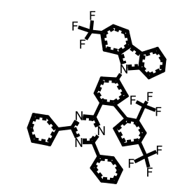 FC(F)(F)c1ccc(-c2cc(-n3c4ccccc4c4ccc(C(F)(F)F)cc43)ccc2-c2nc(-c3ccccc3)nc(-c3ccccc3)n2)c(C(F)(F)F)c1